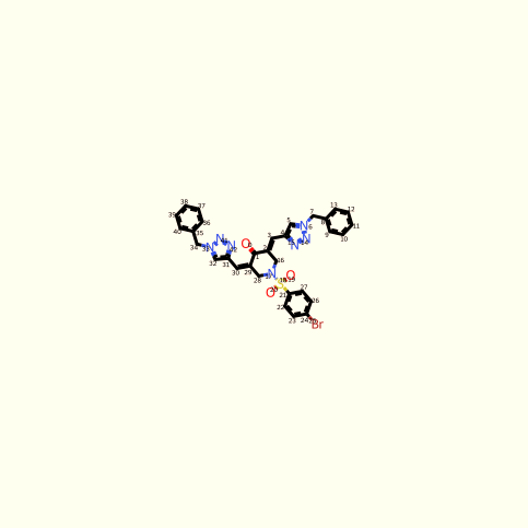 O=C1C(=Cc2cn(Cc3ccccc3)nn2)CN(S(=O)(=O)c2ccc(Br)cc2)CC1=Cc1cn(Cc2ccccc2)nn1